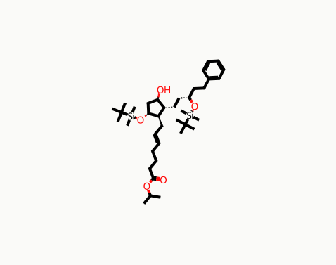 CC(C)OC(=O)CCCC=CC[C@@H]1[C@@H](CC[C@H](CCc2ccccc2)O[Si](C)(C)C(C)(C)C)[C@H](O)C[C@H]1O[Si](C)(C)C(C)(C)C